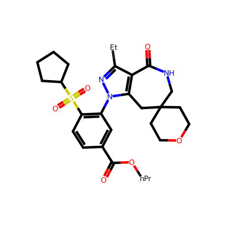 CCCOC(=O)c1ccc(S(=O)(=O)C2CCCC2)c(-n2nc(CC)c3c2CC2(CCOCC2)CNC3=O)c1